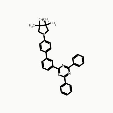 CC1(C)CB(c2ccc(-c3cccc(-c4nc(-c5ccccc5)nc(-c5ccccc5)n4)c3)cc2)CC1(C)C